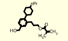 C=C(C)C(=O)OCCCc1cc(CO)ccc1C1CCC(CCC)CC1